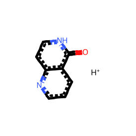 O=c1[nH]ccc2ncccc12.[H+]